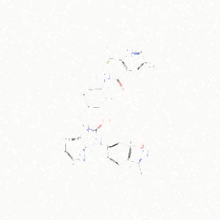 Cc1noc2cc(-n3c(=O)n(CC4CCC(NC(=O)c5cc(Cl)cnc5C(F)F)CC4)c4cccnc43)ccc12